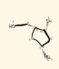 B[C@H]1C[C@@H](O)[C@@H](CO)O1